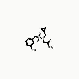 CC(C)(C)c1cccc(CS(=O)(=O)N(CC(N)=O)CC2CC2)c1